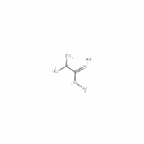 CC(=O)OC(=O)C(C)O.[KH]